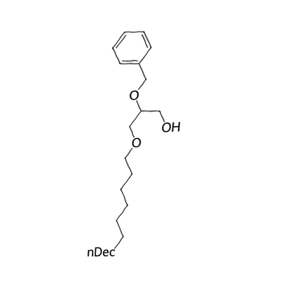 CCCCCCCCCCCCCCCCOCC(CO)OCc1ccccc1